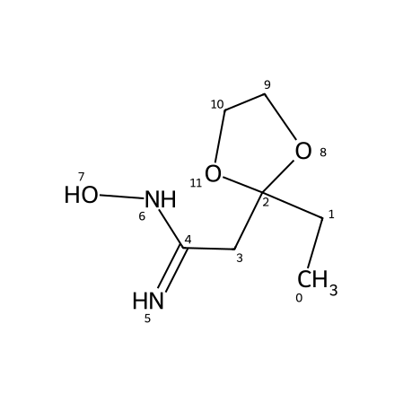 CCC1(CC(=N)NO)OCCO1